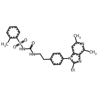 CCc1nc2c(C)nc(C)cc2n1-c1ccc(CCNC(=O)NS(=O)(=O)c2ccccc2C)cc1